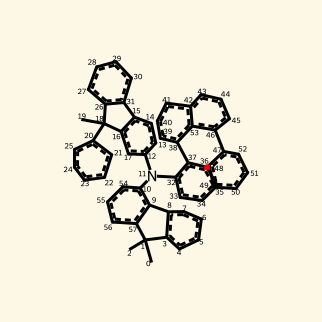 CC1(C)c2ccccc2-c2c(N(c3ccc4c(c3)C(C)(c3ccccc3)c3ccccc3-4)c3ccccc3-c3cccc4cccc(-c5ccccc5)c34)cccc21